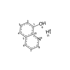 Oc1cccc2cccnc12.[Hf]